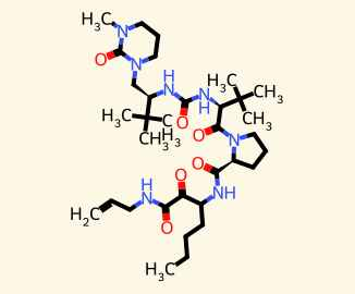 C=CCNC(=O)C(=O)C(CCCC)NC(=O)[C@@H]1CCCN1C(=O)[C@@H](NC(=O)N[C@H](CN1CCCN(C)C1=O)C(C)(C)C)C(C)(C)C